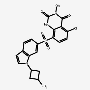 CC1CC(n2ccc3ccc(S(=O)(=O)c4ccc(Cl)c5c(=O)n(O)c(=O)[nH]c45)cc32)C1